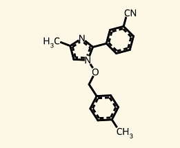 Cc1ccc(COn2cc(C)nc2-c2cccc(C#N)c2)cc1